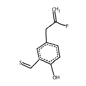 C=C(F)Cc1ccc(O)c(C=S)c1